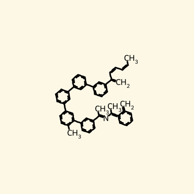 C=C(/C=C\C=C/C)c1cccc(-c2cccc(-c3cccc(-c4ccc(C)c(-c5cccc(/C(C)=N/C(C)=c6\ccccc6=C)c5)c4)c3)c2)c1